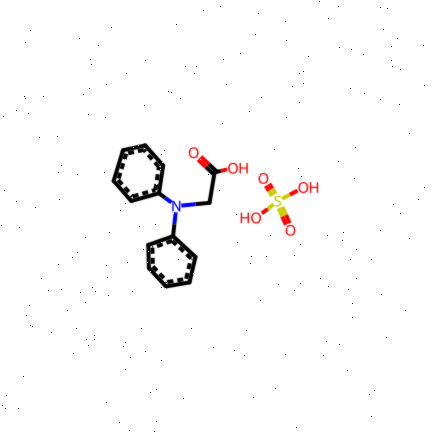 O=C(O)CN(c1ccccc1)c1ccccc1.O=S(=O)(O)O